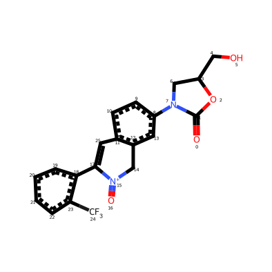 O=C1OC(CO)CN1c1ccc2c(c1)C[N+](=O)C(c1ccccc1C(F)(F)F)=C2